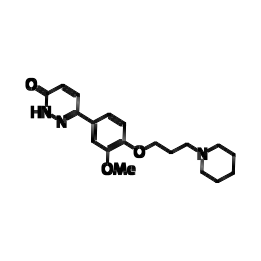 COc1cc(-c2ccc(=O)[nH]n2)ccc1OCCCN1CCCCC1